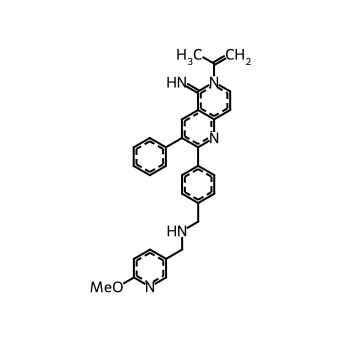 C=C(C)n1ccc2nc(-c3ccc(CNCc4ccc(OC)nc4)cc3)c(-c3ccccc3)cc2c1=N